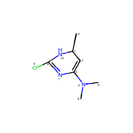 CC1C=C(N(C)C)N=C(Cl)N1